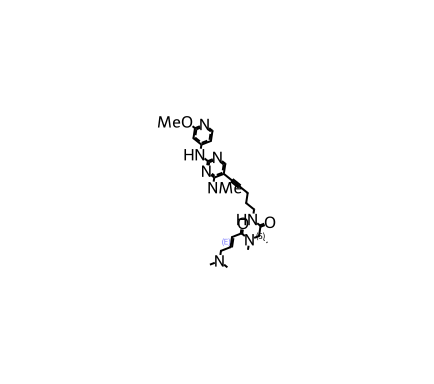 CNc1nc(Nc2ccnc(OC)c2)ncc1C#CCCCNC(=O)[C@H](C)N(C)C(=O)/C=C/CN(C)C